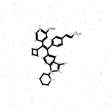 COc1cc(/C(=C(\c2ccc(/C=C/C(=O)O)cc2)c2ccc3c(c2)c(F)nn3C2CCCCO2)C2CCC2)ccn1